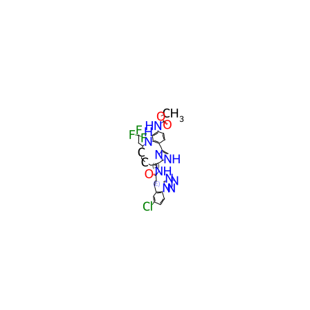 COC(=O)Nc1ccc2c(c1)NC(CC(F)(F)F)CCCC[C@H](NC(=O)/C=C/c1cc(Cl)ccc1-n1cnnn1)c1nc-2c[nH]1